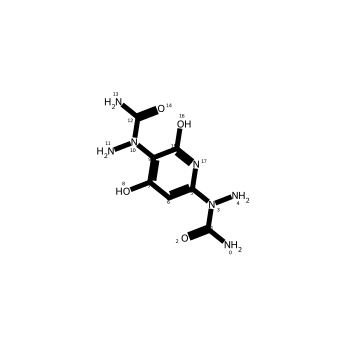 NC(=O)N(N)c1cc(O)c(N(N)C(N)=O)c(O)n1